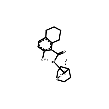 COc1ccc2c(c1C(=O)N[C@@H]1CN3CCC1CC3)CCCC2